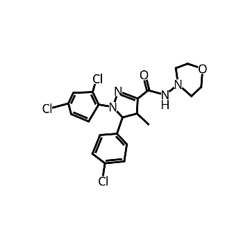 CC1C(C(=O)NN2CCOCC2)=NN(c2ccc(Cl)cc2Cl)C1c1ccc(Cl)cc1